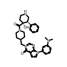 CN(C)c1cccc(-n2ccc3c(=O)n(CC4CCN(C(=O)[C@@]5(O)CCNC[C@H]5c5ccccc5)CC4)cnc32)c1